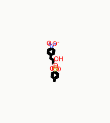 Cc1ccc(S(=O)(=O)OCC(O)Cc2ccc([N+](=O)[O-])cc2)cc1